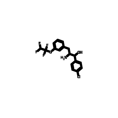 NC(Cc1cccc(OC(F)(F)C(F)F)c1)C(O)c1ccc(Cl)cc1